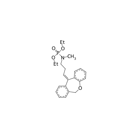 CCOP(=O)(OCC)N(C)CC/C=C1/c2ccccc2COc2ccccc21